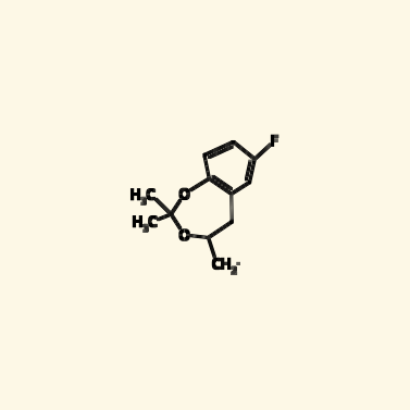 [CH2]C1Cc2cc(F)ccc2OC(C)(C)O1